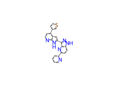 c1ccc(-c2ccc3[nH]nc(-c4cc5c(-c6ccsc6)ccnc5[nH]4)c3n2)nc1